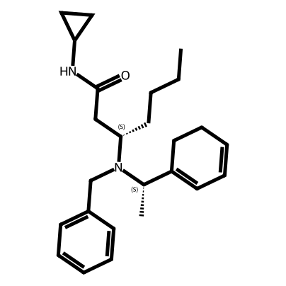 CCCC[C@@H](CC(=O)NC1CC1)N(Cc1ccccc1)[C@@H](C)C1=CC=CCC1